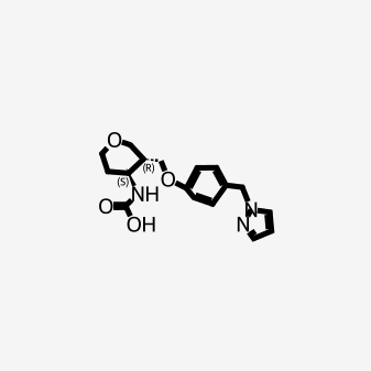 O=C(O)N[C@H]1CCOC[C@@H]1COc1ccc(Cn2cccn2)cc1